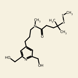 CSSC(C)(C)CCC(=O)N(C)CCCc1cc(CO)nc(CO)c1